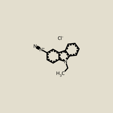 CCn1c2ccccc2c2cc([N+]#N)ccc21.[Cl-]